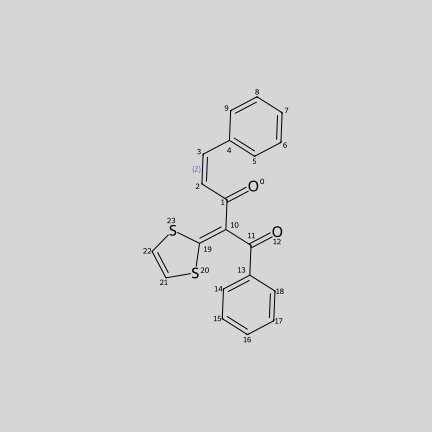 O=C(/C=C\c1ccccc1)C(C(=O)c1ccccc1)=C1SC=CS1